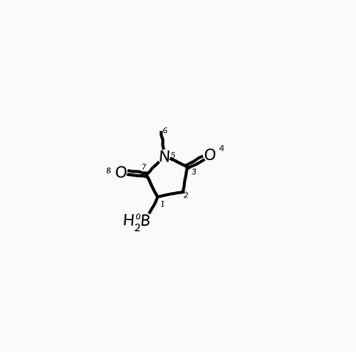 BC1CC(=O)N(C)C1=O